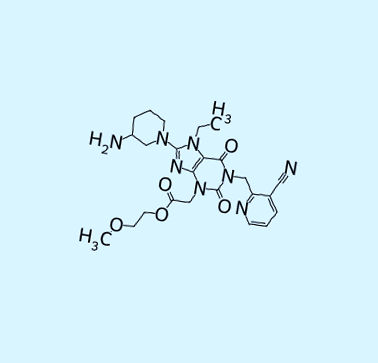 CCn1c(N2CCCC(N)C2)nc2c1c(=O)n(Cc1ncccc1C#N)c(=O)n2CC(=O)OCCOC